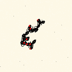 c1ccc(-c2nc(-c3ccccc3)nc(-c3ccc(-c4ccc5c(c4)oc4cccc(-c6nc(-c7ccccc7)c7sc8c(-c9ccc(-c%10nc(-c%11ccc%12c(c%11)oc%11c(-c%13ccc(-c%14nc(-c%15ccccc%15)nc(-c%15ccccc%15)n%14)cc%13)cccc%11%12)nc%11c%10oc%10ccccc%10%11)cc9)cccc8c7n6)c45)cc3)n2)cc1